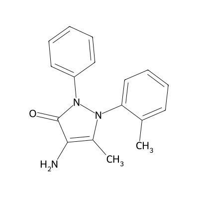 Cc1ccccc1-n1c(C)c(N)c(=O)n1-c1ccccc1